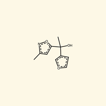 Cc1cc(C(C)(O)c2ccoc2)on1